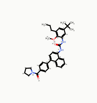 CCCc1cc(C(C)(C)C)cc(NC(=O)Nc2ccc(-c3ccc(C(=O)N4CCCC4)cc3)c3ccccc23)c1OC